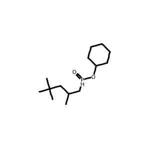 CC(C[PH](=O)OC1CCCCC1)CC(C)(C)C